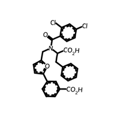 O=C(O)c1cccc(-c2ccc(CN(C(=O)c3ccc(Cl)cc3Cl)C(Cc3ccccc3)C(=O)O)o2)c1